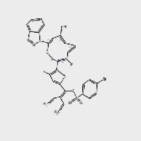 C=CC(C=C)=C(SS(=O)(=O)c1ccc(Br)cc1)c1cc(F)c(/C2=C(F)/C=C/C=C(CCC)/C=C(/n3nnc4ccccc43)SS2)s1